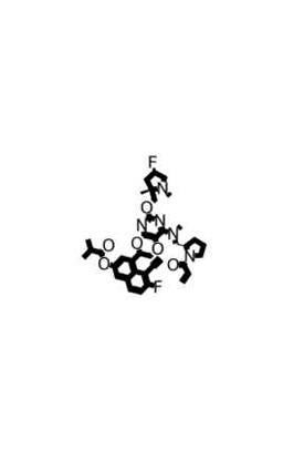 C#Cc1c(F)ccc2cc(OC(=O)C(C)C)cc(C3COc4c(nc(OC[C@]5(C)C[C@@H](F)CN5C)nc4N(C)C[C@@H]4CCCN4C(=O)C=C)O3)c12